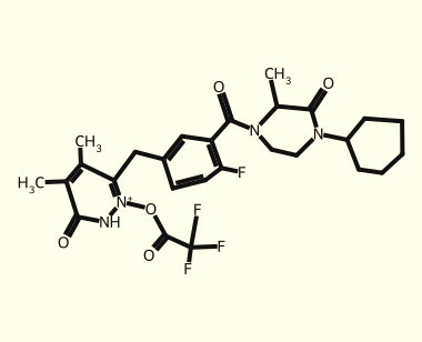 Cc1c(C)c(=O)[nH][n+](OC(=O)C(F)(F)F)c1Cc1ccc(F)c(C(=O)N2CCN(C3CCCCC3)C(=O)C2C)c1